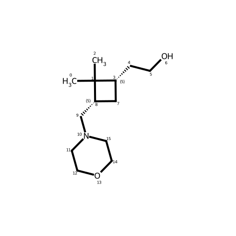 CC1(C)[C@H](CCO)C[C@@H]1CN1CCOCC1